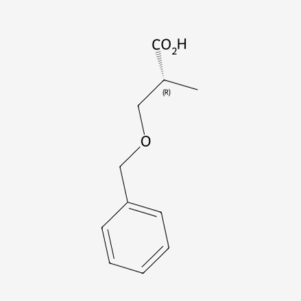 C[C@H](COCc1ccccc1)C(=O)O